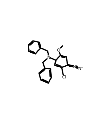 COC1=CC(=[N+]=[N-])C(Cl)=CC1N(Cc1ccccc1)Cc1ccccc1